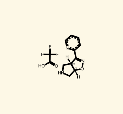 O=C(O)C(F)(F)F.c1ccc(C2=NO[C@@H]3CNC[C@H]23)nc1